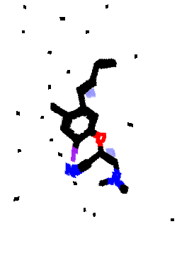 C=C/C=C/c1cc(O/C(C#N)=C/N(C)C)c(I)cc1C